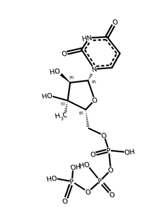 C[C@@]1(O)[C@@H](COP(=O)(O)OP(=O)(O)OP(=O)(O)O)O[C@@H](n2ccc(=O)[nH]c2=O)[C@@H]1O